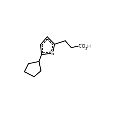 O=C(O)CCc1ccc(C2CCCC2)s1